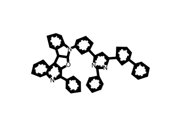 c1ccc(-c2cccc(-c3cc(-c4cccc(N5c6ccccc6C6c7c(c(-c8ccccc8)nc8ccccc78)OC65)c4)nc(-c4ccccc4)n3)c2)cc1